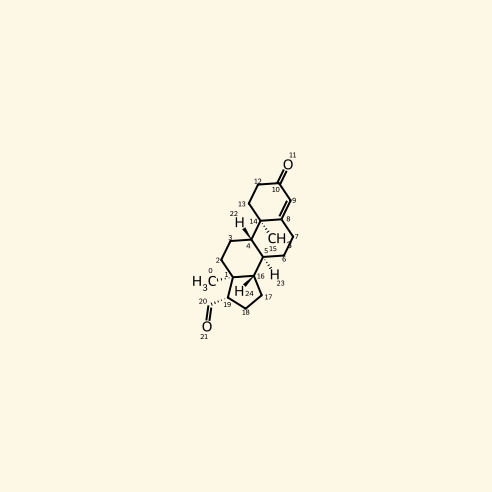 C[C@]12CC[C@H]3[C@@H](CCC4=CC(=O)CC[C@@]43C)[C@@H]1CC[C@@H]2C=O